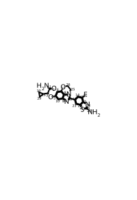 NC(=O)C(Oc1cc2c3c(c1)nc(-c1cc(F)c4nc(N)sc4c1)n3CCO2)C1CC1